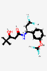 CC(C)(C)C(O)CC(=O)N[C@@H](CC(F)F)c1cccc(OC(F)F)c1